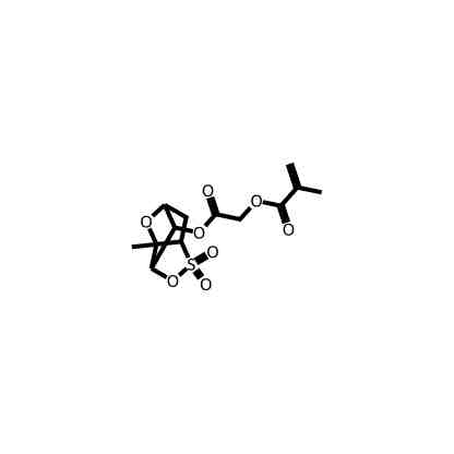 C=C(C)C(=O)OCC(=O)OC1C2CC3C(C)(O2)C1OS3(=O)=O